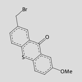 COc1ccc2sc3ccc(CBr)cc3c(=O)c2c1